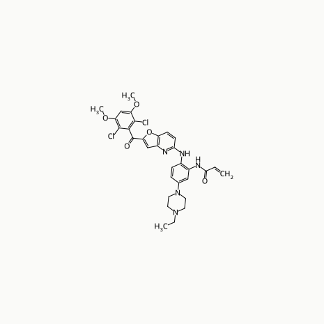 C=CC(=O)Nc1cc(N2CCN(CC)CC2)ccc1Nc1ccc2oc(C(=O)c3c(Cl)c(OC)cc(OC)c3Cl)cc2n1